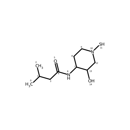 CC(C)CC(=O)NC1CCN(S)CC1O